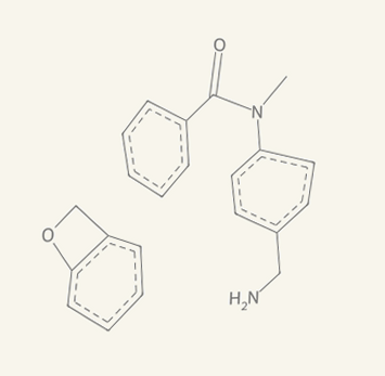 CN(C(=O)c1ccccc1)c1ccc(CN)cc1.c1ccc2c(c1)CO2